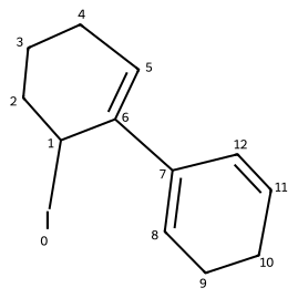 IC1CCCC=C1C1=CCCC=C1